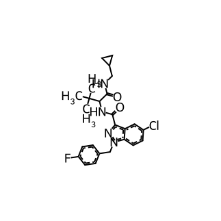 CC(C)(C)C(NC(=O)c1nn(Cc2ccc(F)cc2)c2ccc(Cl)cc12)C(=O)NCC1CC1